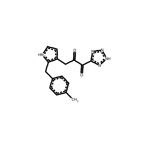 Cc1ccc(Cc2[nH]ccc2CC(=O)C(=O)c2nn[nH]n2)cc1